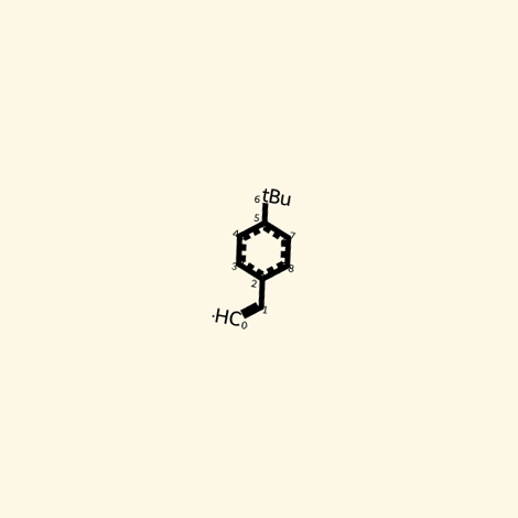 [CH]=Cc1ccc(C(C)(C)C)cc1